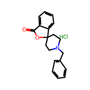 Cl.O=C1OC2(CCN(Cc3ccccc3)CC2)c2ccccc21